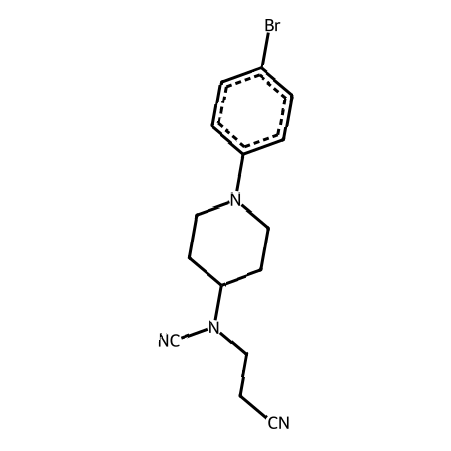 N#CCCN(C#N)C1CCN(c2ccc(Br)cc2)CC1